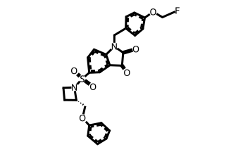 O=C1C(=O)N(Cc2ccc(OCF)cc2)c2ccc(S(=O)(=O)N3CC[C@H]3COc3ccccc3)cc21